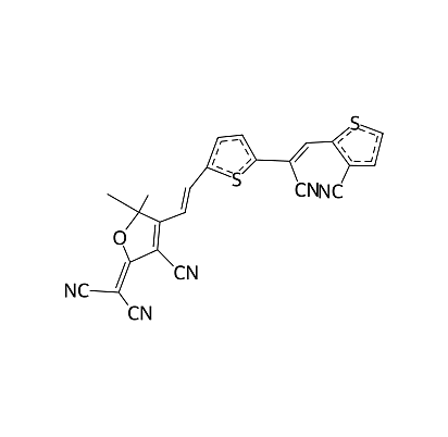 CC1(C)OC(=C(C#N)C#N)C(C#N)=C1/C=C/c1ccc(/C(C#N)=C/c2sccc2C#N)s1